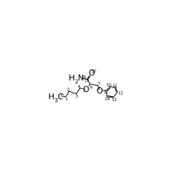 CCCCCOC(COc1ccccc1)C(N)=O